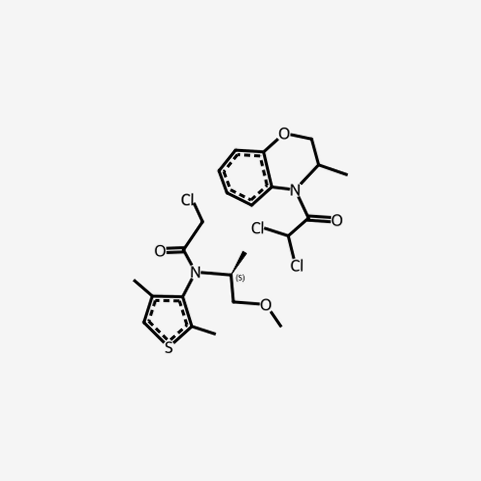 CC1COc2ccccc2N1C(=O)C(Cl)Cl.COC[C@H](C)N(C(=O)CCl)c1c(C)csc1C